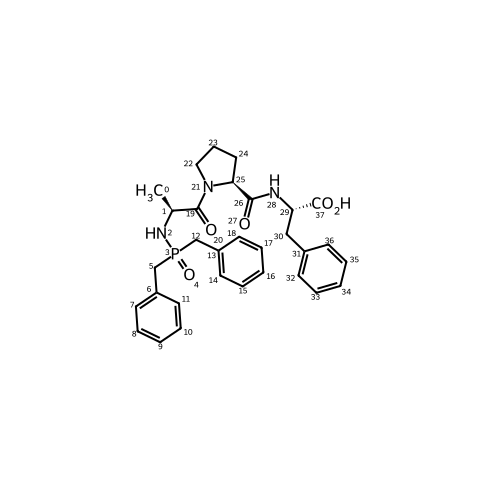 C[C@H](NP(=O)(Cc1ccccc1)Cc1ccccc1)C(=O)N1CCC[C@H]1C(=O)N[C@@H](Cc1ccccc1)C(=O)O